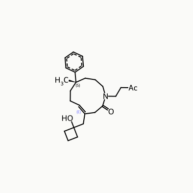 CC(=O)CCN1CCC[C@@](C)(c2ccccc2)CC/C=C(\CC2(O)CCC2)CC1=O